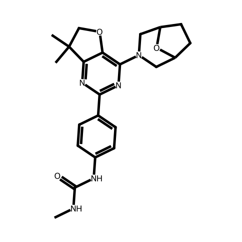 CNC(=O)Nc1ccc(-c2nc(N3CC4CCC(C3)O4)c3c(n2)C(C)(C)CO3)cc1